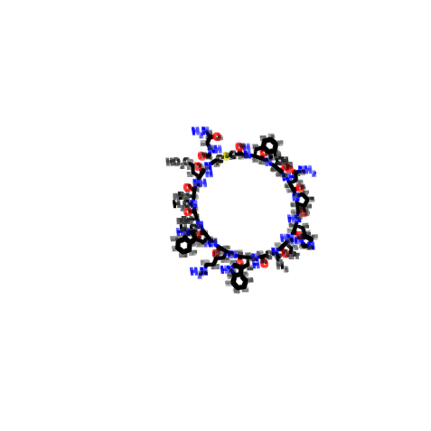 CCCC[C@H]1C(=O)N(C)[C@@H](CCCC)C(=O)N[C@@H](CCC(=O)O)C(=O)N[C@H](C(=O)NCC(N)=O)CSCC(=O)N[C@@H](Cc2ccccc2)C(=O)N(C)[C@@H](C)C(=O)N[C@@H](CC(N)=O)C(=O)N2CCC[C@H]2C(=O)N[C@@H](Cc2cnc[nH]2)C(=O)N[C@@H](CC(C)C)C(=O)N(C)CC(=O)N[C@@H](Cc2c[nH]c3ccccc23)C(=O)N[C@@H](CCCCN)C(=O)N[C@@H](Cc2c[nH]c3ccccc23)C(=O)N1C